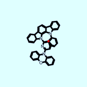 C1=CC2c3ccc4c5ccccc5n(-c5ccccc5)c4c3N(c3cccc(N4c5ccccc5Oc5ccccc54)n3)C2C=C1